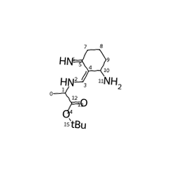 CC(N/C=C1\C(=N)CCCC1N)C(=O)OC(C)(C)C